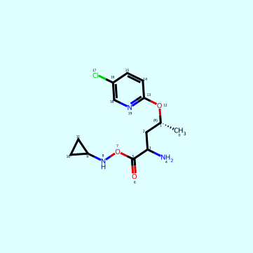 C[C@H](CC(N)C(=O)ONC1CC1)Oc1ccc(Cl)cn1